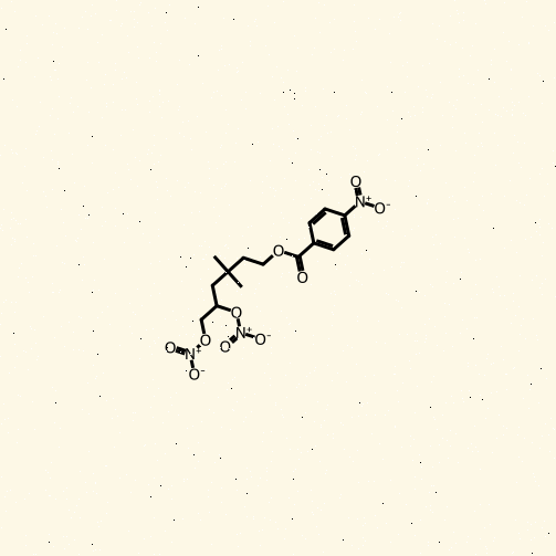 CC(C)(CCOC(=O)c1ccc([N+](=O)[O-])cc1)CC(CO[N+](=O)[O-])O[N+](=O)[O-]